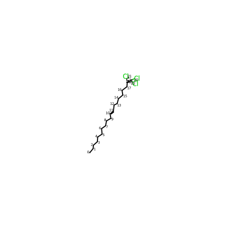 CCCCCCCCCC/C=C/CCCCCCC[Si](Cl)(Cl)Cl